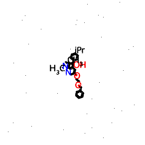 CC(C)c1ccc(C(O)(c2cncc(OCCOCc3ccccc3)c2)C2(C)CN(C)C2)cc1